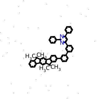 CC1(C)c2ccccc2-c2cc3c(cc21)-c1ccc(-c2cccc(-c4cccc(-c5cc(-c6ccccc6)nc(-c6ccccc6)n5)c4)c2)cc1C3(C)C